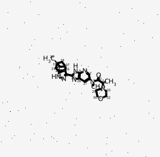 C[C@@H](C(=O)N(C)c1cnc2[nH]c(-c3n[nH]c4c3C3C[C@@](C)(C4)C3(F)F)nc2c1)N1CCOCC1